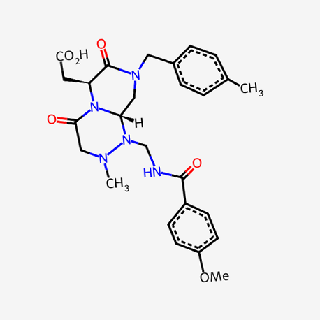 COc1ccc(C(=O)NCN2[C@H]3CN(Cc4ccc(C)cc4)C(=O)[C@H](CC(=O)O)N3C(=O)CN2C)cc1